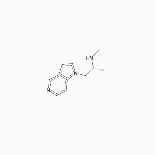 CN[C@H](C)Cn1ccc2cnccc21